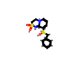 O=S1(=O)CCN2C=CC=C([S+]([O-])Cc3ccccc3)C2=N1